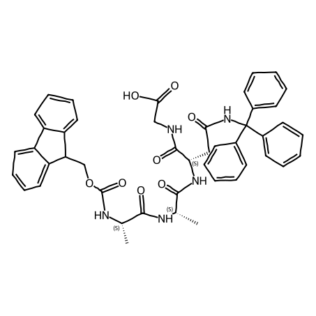 C[C@H](NC(=O)OCC1c2ccccc2-c2ccccc21)C(=O)N[C@@H](C)C(=O)N[C@@H](CC(=O)NC(c1ccccc1)(c1ccccc1)c1ccccc1)C(=O)NCC(=O)O